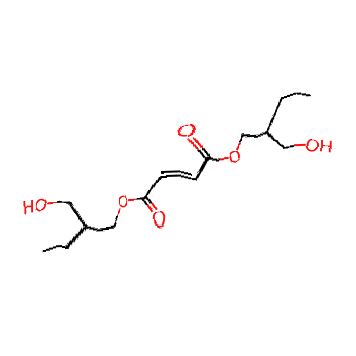 CCC(CO)COC(=O)/C=C/C(=O)OCC(CC)CO